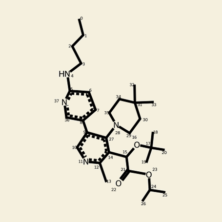 CCCCNc1ccc(-c2cnc(C)c(C(OC(C)(C)C)C(=O)OC(C)C)c2N2CCC(C)(C)CC2)cn1